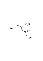 CSCC(NC(=O)CO)C(=O)O